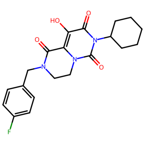 O=C1c2c(O)c(=O)n(C3CCCCC3)c(=O)n2CCN1Cc1ccc(F)cc1